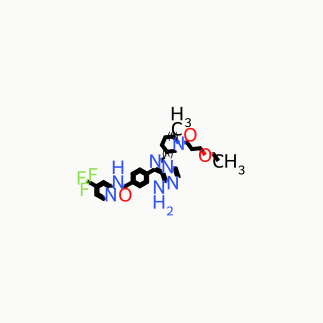 CCOCCC(=O)N1C[C@H](c2nc(-c3ccc(C(=O)Nc4cc(C(F)(F)F)ccn4)cc3)c3c(N)nccn23)CC[C@@H]1C